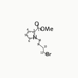 COC(=O)c1cccn1CCCCBr